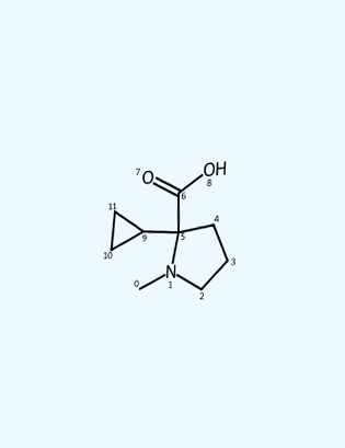 CN1CCCC1(C(=O)O)C1CC1